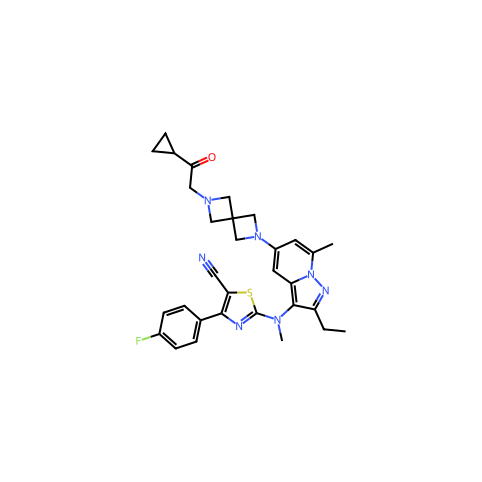 CCc1nn2c(C)cc(N3CC4(CN(CC(=O)C5CC5)C4)C3)cc2c1N(C)c1nc(-c2ccc(F)cc2)c(C#N)s1